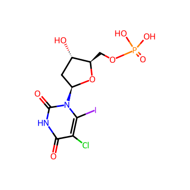 O=c1[nH]c(=O)n([C@H]2C[C@H](O)[C@@H](COP(=O)(O)O)O2)c(I)c1Cl